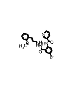 COc1ccccc1C=CC=NNC(=O)c1cc(Br)ccc1NC(=O)c1cccnc1